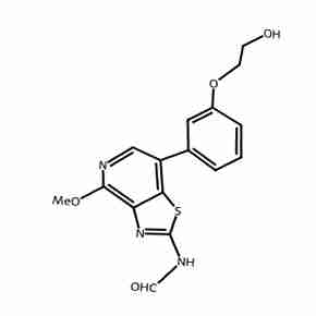 COc1ncc(-c2cccc(OCCO)c2)c2sc(NC=O)nc12